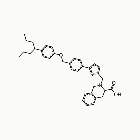 CCCC(CCC)c1ccc(OCc2ccc(-c3ccc(CN4Cc5ccccc5CC4C(=O)O)s3)cc2)cc1